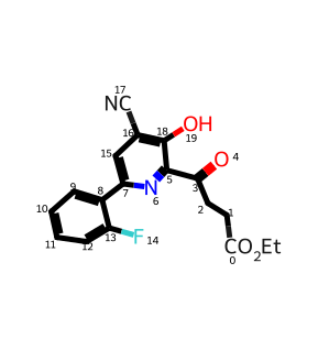 CCOC(=O)CCC(=O)c1nc(-c2ccccc2F)cc(C#N)c1O